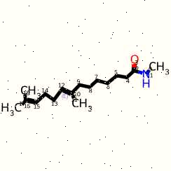 CNC(=O)CCCCCC/C(C)=C/CCC=C(C)C